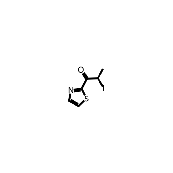 CC(I)C(=O)c1nccs1